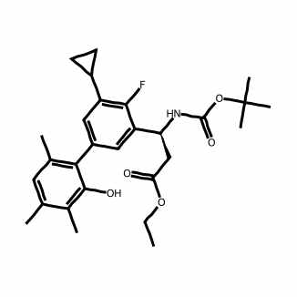 CCOC(=O)C[C@H](NC(=O)OC(C)(C)C)c1cc(-c2c(C)cc(C)c(C)c2O)cc(C2CC2)c1F